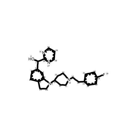 OC(c1ccc2c(c1)N(C1CCN(CCc3ccc(F)cc3)CC1)CC2)c1ncccn1